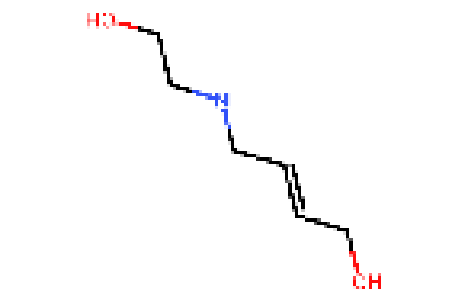 OCC=CCNCCO